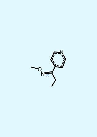 CC/C(=N/OC)c1ccncc1